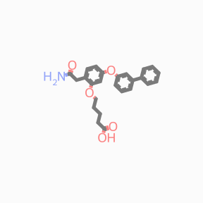 NC(=O)Cc1ccc(Oc2cccc(-c3ccccc3)c2)cc1OCCCCC(=O)O